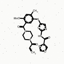 C=CC(=O)N1CCN(C(=O)c2cc(Sc3cnc(NC(=O)c4cocn4)s3)c(C)cc2OC)CC1